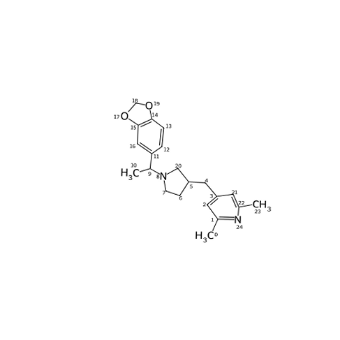 Cc1cc(CC2CCN(C(C)c3ccc4c(c3)OCO4)C2)cc(C)n1